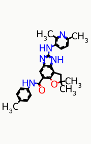 Cc1ccc(NC(=O)c2cc3nc(Nc4ccc(C)nc4C)[nH]c3c3c2OC(C)(C)C3)cc1